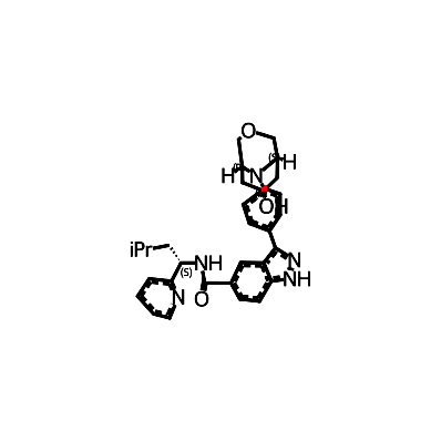 CC(C)C[C@H](NC(=O)c1ccc2[nH]nc(-c3ccc(N4[C@@H]5COC[C@H]4C[C@H](O)C5)cc3)c2c1)c1ccccn1